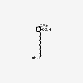 CCCCCCC=CCCCCCCCCCc1cccc(OC)c1C(=O)O